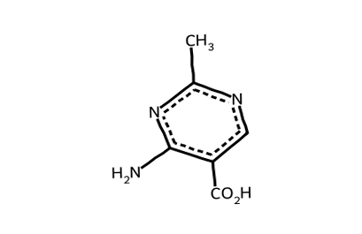 Cc1ncc(C(=O)O)c(N)n1